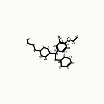 CCCCC1CCC(C(CC2CC=CCC2)c2ccc(OCC)c(F)c2)CC1